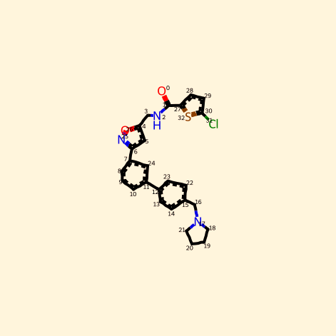 O=C(NCc1cc(-c2cccc(-c3ccc(CN4CCCC4)cc3)c2)no1)c1ccc(Cl)s1